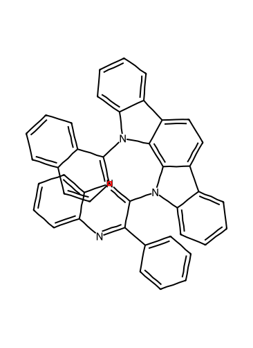 c1ccc(-c2nc3ccccc3nc2-n2c3ccccc3c3ccc4c5ccccc5n(-c5cccc6ccccc56)c4c32)cc1